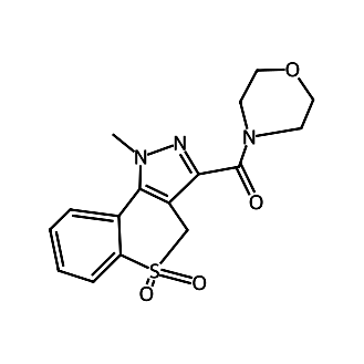 Cn1nc(C(=O)N2CCOCC2)c2c1-c1ccccc1S(=O)(=O)C2